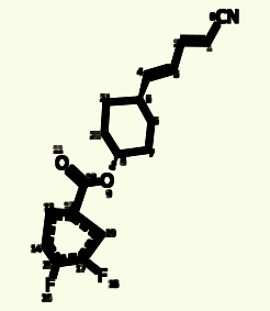 N#CC=CC=C[C@H]1CC[C@H](OC(=O)c2ccc(F)c(F)c2)CC1